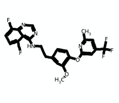 COc1cc(CCNc2ncnc3c(F)ccc(F)c23)ccc1Oc1cc(C(F)(F)F)cc(C)n1